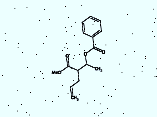 C=CCC(C(=O)OC)C(C)OC(=O)c1ccccc1